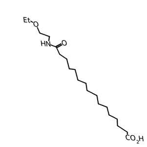 CCOCCNC(=O)CCCCCCCCCCCCCCC(=O)O